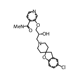 CNC(=O)c1ccncc1OC[C@@H](O)CN1CCC2(CC1)Cc1cc(Cl)ccc1O2